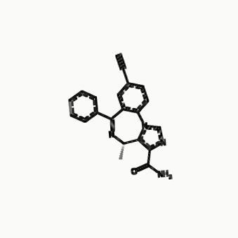 C#Cc1ccc2c(c1)C(c1ccccc1)=N[C@@H](C)c1c(C(N)=O)ncn1-2